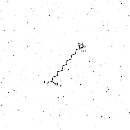 CC(C)CCCCCCCCCCCP(=O)(O)O